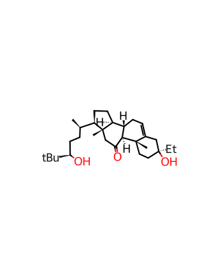 CC[C@]1(O)CC[C@@]2(C)C(=CC[C@H]3[C@@H]4CC[C@H]([C@H](C)CC[C@@H](O)C(C)(C)C)[C@@]4(C)CC(=O)[C@@H]32)C1